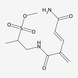 C=C(C=CC(N)=O)C(=O)NCC(C)S(=O)(=O)OC